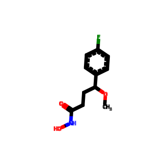 COC(CCC(=O)NO)c1ccc(F)cc1